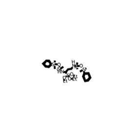 CCO[Si](OCC)(OCC)C(CCN[Si](C)(C)O[Si](C)(C)c1ccccc1)N[Si](C)(C)O[Si](C)(C)c1ccccc1